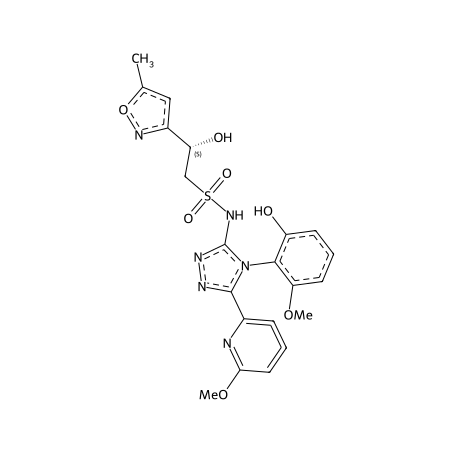 COC1=NC(c2nnc(NS(=O)(=O)C[C@@H](O)c3cc(C)on3)n2-c2c(O)cccc2OC)=C=C=C1